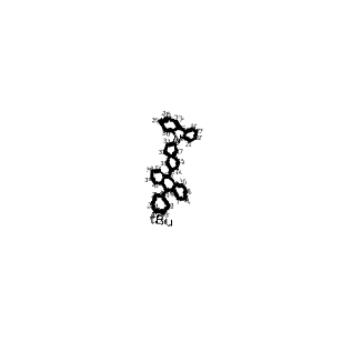 CC(C)(C)c1ccc(-c2c3ccccc3c(-c3ccc4cc(-n5c6ccccc6c6ccccc65)ccc4c3)c3ccccc23)cc1